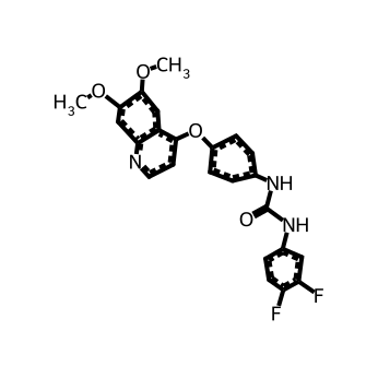 COc1cc2nccc(Oc3ccc(NC(=O)Nc4ccc(F)c(F)c4)cc3)c2cc1OC